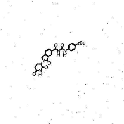 CC(C)(C)c1ccc(NC(=O)NC(=O)c2ccc3c(c2)C(=O)N(C2CCC(=O)NC2=O)C3)cc1